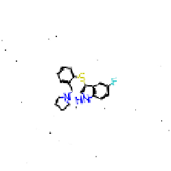 Fc1ccc2[nH]cc(Sc3ccccc3CN3CCCC3)c2c1